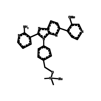 COc1cnccc1-c1ccc2nc(-c3cccnc3N)n(-c3ccc(CO[Si](C)(C)C(C)(C)C)cc3)c2n1